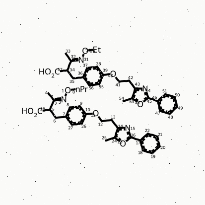 CCCON=C(C)C(Cc1ccc(OCCc2nc(-c3ccccc3)oc2C)cc1)C(=O)O.CCON=C(C)C(Cc1ccc(OCCc2nc(-c3ccccc3)oc2C)cc1)C(=O)O